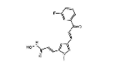 Cn1cc(C=CC(=O)c2cccc(F)c2)cc1C=CC(=O)NO